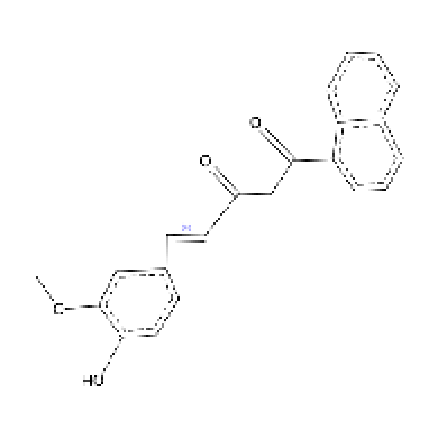 COc1cc(/C=C/C(=O)CC(=O)c2cccc3ccccc23)ccc1O